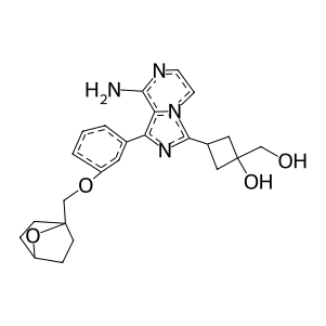 Nc1nccn2c(C3CC(O)(CO)C3)nc(-c3cccc(OCC45CCC(CC4)O5)c3)c12